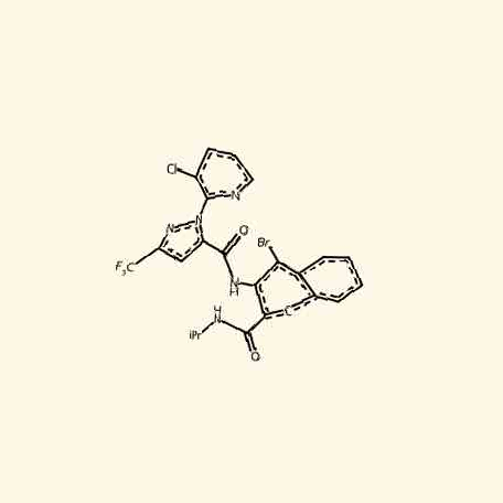 CC(C)NC(=O)c1cc2ccccc2c(Br)c1NC(=O)c1cc(C(F)(F)F)nn1-c1ncccc1Cl